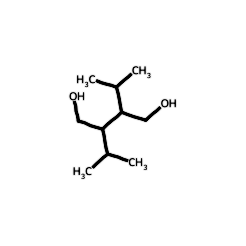 CC(C)C(CO)C(CO)C(C)C